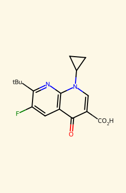 CC(C)(C)c1nc2c(cc1F)c(=O)c(C(=O)O)cn2C1CC1